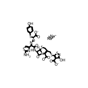 Nc1nc(/C(=N/O[C@H](Sc2ccc(O)cc2)C(=O)[O-])C(=O)N[C@@H]2C(=O)N3C(C(=O)[O-])=C(CSc4snc(O)c4C(=O)[O-])CS[C@@H]23)cs1.[Na+].[Na+].[Na+]